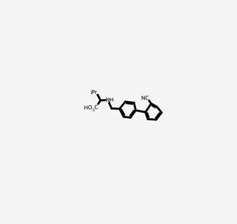 CC(C)C(NCc1ccc(-c2ccccc2C#N)cc1)C(=O)O